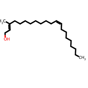 [CH2]C(=CCO)CCCCCCCC/C=C\CCCCCCCC